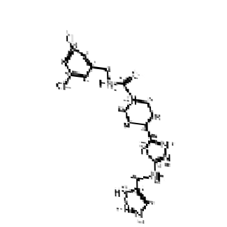 O=C(NCc1cc(Cl)cc(Cl)c1)N1CCC(c2nnc(NCc3cnn[nH]3)o2)CC1